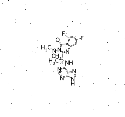 C[C@H](Nc1ncnc2[nH]cnc12)c1nc2cc(F)cc(F)c2c(=O)n1N(C)C